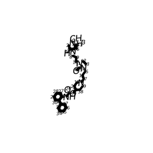 CN1C[C@@H]2C[C@H]1CN2CCCN1CCN(CCCN2CCC(OC(=O)Nc3ccccc3-c3ccccc3)CC2)C1=O